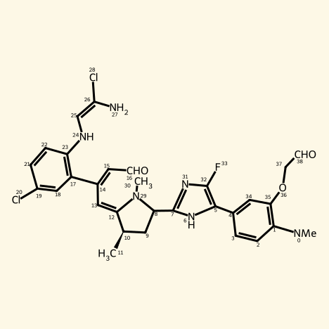 CNc1ccc(-c2[nH]c(C3C[C@@H](C)/C(=C/C(=C\C=O)c4cc(Cl)ccc4N/C=C(\N)Cl)N3C)nc2F)cc1OCC=O